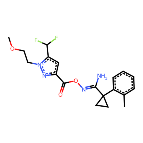 COCCn1nc(C(=O)O/N=C(\N)C2(c3ccccc3C)CC2)cc1C(F)F